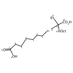 CCCCCCCC(=O)O.CCCCCCCCC(C)(CC)C(=O)O